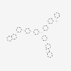 CC1(C)c2ccccc2-c2ccc(-c3ccc(N(c4ccc(-c5ccc(-c6cccc(-c7ccc8ccccc8c7)c6)cc5)cc4)c4ccc(-c5ccc6c(c5)oc5ccccc56)cc4)cc3)cc21